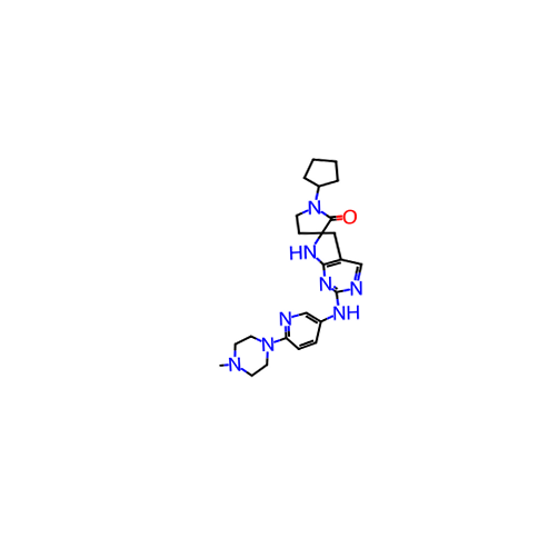 CN1CCN(c2ccc(Nc3ncc4c(n3)NC3(CCN(C5CCCC5)C3=O)C4)cn2)CC1